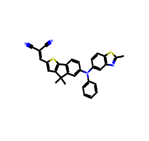 Cc1nc2cc(N(c3ccccc3)c3ccc4c(c3)C(C)(C)c3cc(C=C(C#N)C#N)sc3-4)ccc2s1